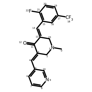 CN1C/C(=C\c2cccnc2)C(=O)/C(=C/c2cc(C(F)(F)F)ccc2F)C1